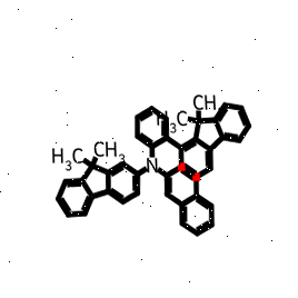 CC1(C)c2ccccc2-c2ccc(N(c3ccc4ccccc4c3)c3ccccc3-c3cccc4c3C(C)(C)c3ccccc3-4)cc21